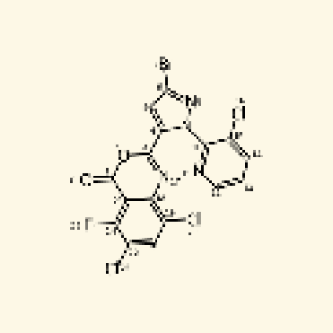 O=c1oc(-c2cc(Br)nn2-c2ncccc2Cl)nc2c(Cl)cc(Cl)c(F)c12